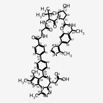 Cc1ncsc1-c1ccc(C(C)NC(=O)[C@@H]2C[C@@H](O)CN2C(=O)C(NC(=O)CNC(=O)c2ccc(-c3ccc(C4=N[C@@H](CC(=O)O)c5nnc(C)n5-c5sc(C)c(C)c54)cc3)cc2)C(C)(C)C)cc1